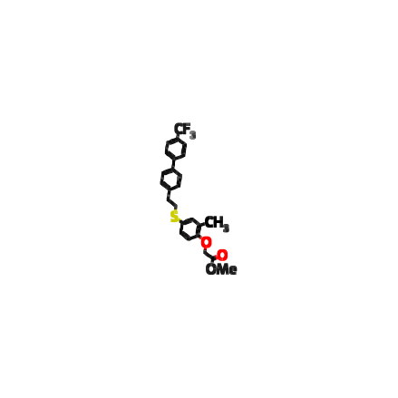 COC(=O)COc1ccc(SCCc2ccc(-c3ccc(C(F)(F)F)cc3)cc2)cc1C